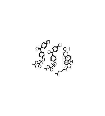 CC(C)CCC[C@@H](C)[C@H]1CC[C@H]2[C@@H]3CC=C4C[C@@H](O)CC[C@]4(C)[C@H]3CC[C@]12C.CC(C)OC(=O)C(C)(C)Oc1ccc(C(=O)c2ccc(Cl)cc2)cc1.CC(C)OC(=O)C(C)(C)Oc1ccc(C(=O)c2ccc(Cl)cc2)cc1